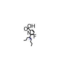 CCC/C=C(\CCC)c1nc(C(=O)O)ccc1F